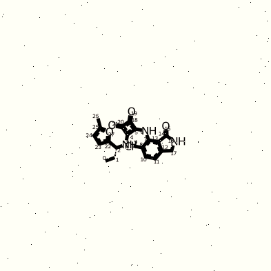 CC[C@@H](Nc1c(Nc2c(Cl)ccc3c2C(=O)NC3)c(=O)c1=O)c1ccc(C)o1